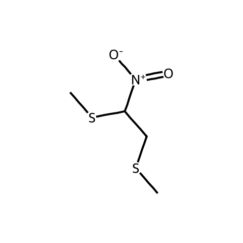 CSCC(SC)[N+](=O)[O-]